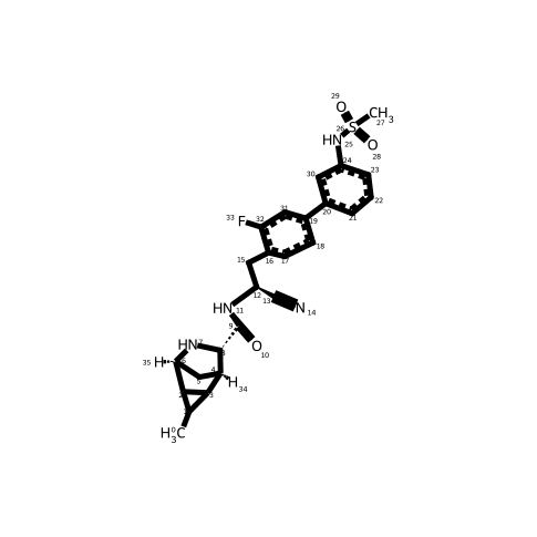 CC1C2C1[C@H]1C[C@@H]2N[C@@H]1C(=O)N[C@H](C#N)Cc1ccc(-c2cccc(NS(C)(=O)=O)c2)cc1F